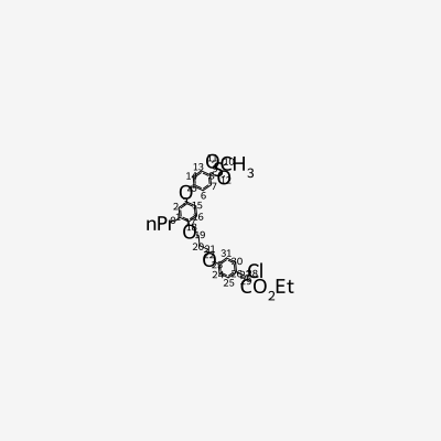 CCCc1cc(Oc2ccc(S(C)(=O)=O)cc2)ccc1OCCCOc1ccc(C(Cl)C(=O)OCC)cc1